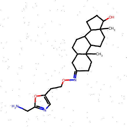 CC12CCC3C(CCC4CC(=NOCCc5cnc(CN)o5)CCC43C)C1CCC2O